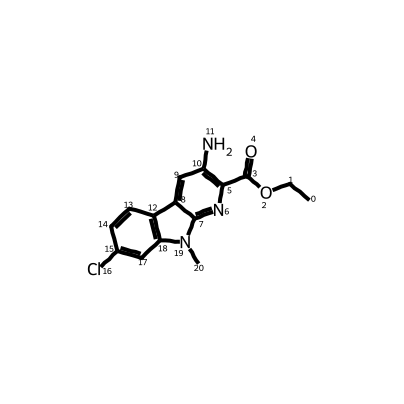 CCOC(=O)c1nc2c(cc1N)c1ccc(Cl)cc1n2C